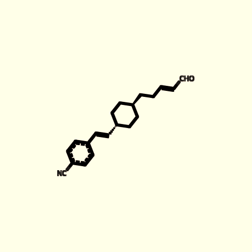 N#Cc1ccc(/C=C/[C@H]2CC[C@H](CCC=CC=O)CC2)cc1